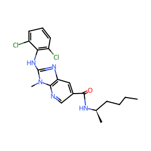 CCCC[C@@H](C)NC(=O)c1cnc2c(c1)nc(Nc1c(Cl)cccc1Cl)n2C